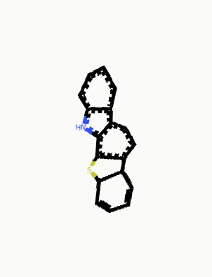 C1=CC2Sc3c(ccc4c3[nH]c3ccccc34)C2C=C1